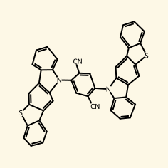 N#Cc1cc(-n2c3ccccc3c3cc4sc5ccccc5c4cc32)c(C#N)cc1-n1c2ccccc2c2cc3sc4ccccc4c3cc21